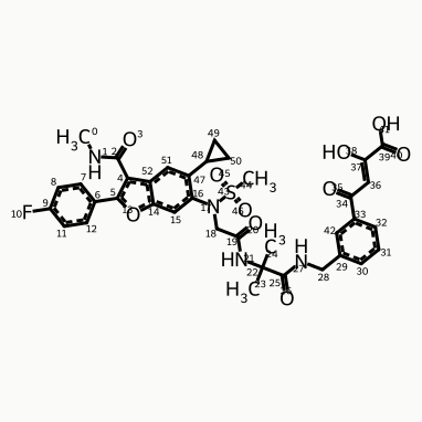 CNC(=O)c1c(-c2ccc(F)cc2)oc2cc(N(CC(=O)NC(C)(C)C(=O)NCc3cccc(C(=O)C=C(O)C(=O)O)c3)S(C)(=O)=O)c(C3CC3)cc12